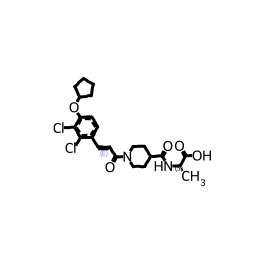 C[C@H](NC(=O)C1CCN(C(=O)/C=C/c2ccc(OC3CCCC3)c(Cl)c2Cl)CC1)C(=O)O